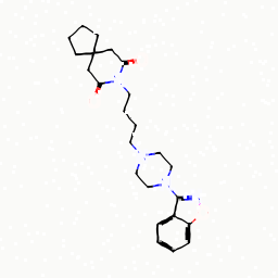 O=C1CC2(CCCC2)CC(=O)N1CCCCN1CCN(c2noc3ccccc23)CC1